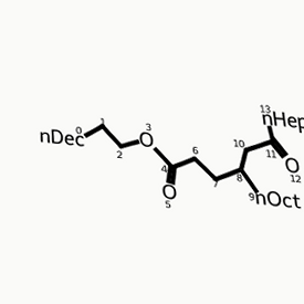 CCCCCCCCCCCCOC(=O)CCC(CCCCCCCC)CC(=O)CCCCCCC